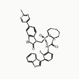 Cc1ncc(-c2ccc3c(c2)[nH]c(=O)n3CS(=O)(=O)N2CCCCC[C@H]2C(=O)Nc2cccc(-c3csc4ccccc34)c2F)cn1